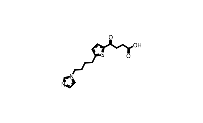 O=C(O)CCC(=O)c1ccc(CCCCn2ccnc2)s1